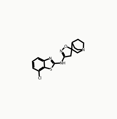 Clc1cccc2nc(NC3=NOC4(C3)CN3CCC4CC3)sc12